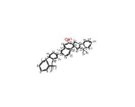 CC1(C)c2ccccc2-c2ccc(-c3ccc4c(c3)cc(O)c3cc5c(cc34)C(C)(C)c3ccccc3-5)cc21